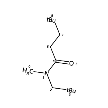 CN(CC(C)(C)C)C(=O)CCC(C)(C)C